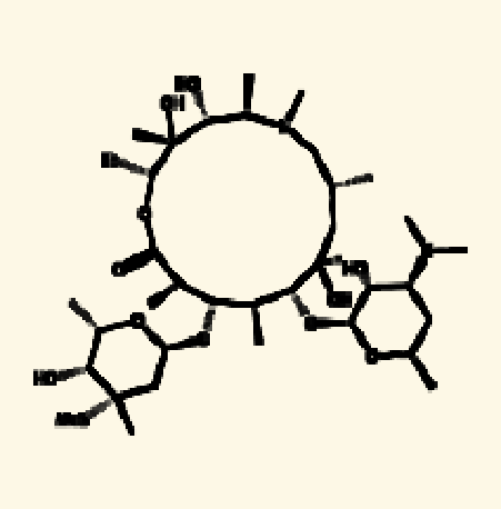 CC[C@H]1OC(=O)[C@H](C)[C@@H](O[C@H]2C[C@](C)(SC)[C@H](O)[C@H](C)O2)[C@H](C)[C@@H](O[C@@H]2O[C@H](C)C[C@H](N(C)C)[C@H]2O)[C@](C)(O)C[C@@H](C)CN(C)[C@H](C)[C@@H](O)[C@@]1(C)O